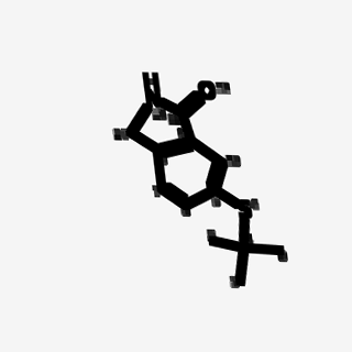 CC(C)(C)Sc1ccc2c(c1)C(=O)NC2